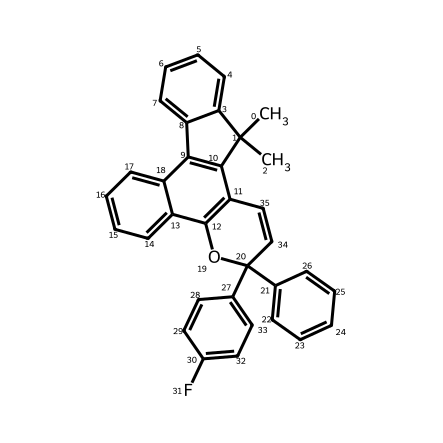 CC1(C)c2ccccc2-c2c1c1c(c3ccccc23)OC(c2ccccc2)(c2ccc(F)cc2)C=C1